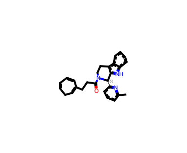 Cc1cccc([C@H]2c3[nH]c4ccccc4c3CCN2C(=O)CCC2=CCC=CC=C2)n1